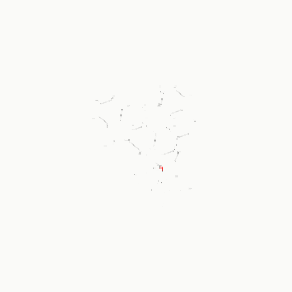 C=CC(=O)N1[C@@H]2CC[C@H]1CN(c1nc(=O)n(-c3c(C)ccnc3C(C)C)c3nc(-c4ccccc4F)c(Cl)cc13)C2